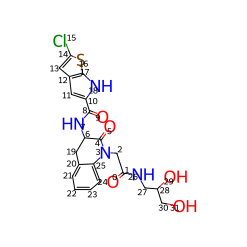 O=C(CN1C(=O)C(NC(=O)c2cc3cc(Cl)sc3[nH]2)Cc2ccccc21)NCC(O)CO